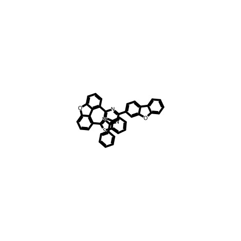 c1ccc(-c2nc(-c3ccc4c(c3)oc3ccccc34)nc(-c3cccc4oc5cccc(-c6nc7ccccc7s6)c5c34)n2)cc1